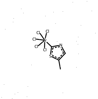 Cc1cn[c]([Ir]([Cl])([Cl])([Cl])([Cl])[Cl])s1